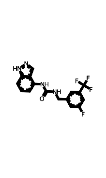 O=C(NCc1cc(F)cc(C(F)(F)F)c1)Nc1cccc2[nH]ncc12